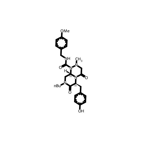 CCCCN1C[C@H]2N(C(=O)CN(C)N2C(=O)NCc2ccc(OC)cc2)[C@@H](Cc2ccc(O)cc2)C1=O